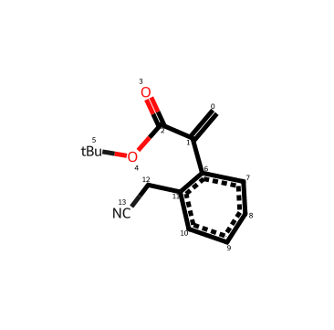 C=C(C(=O)OC(C)(C)C)c1ccccc1CC#N